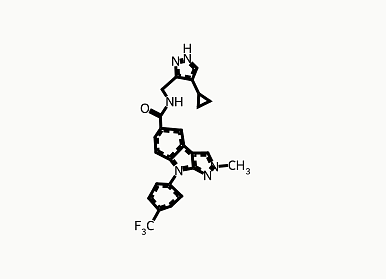 Cn1cc2c3cc(C(=O)NCc4n[nH]cc4C4CC4)ccc3n(-c3ccc(C(F)(F)F)cc3)c2n1